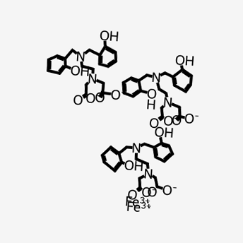 O=C([O-])CN(CCN(Cc1ccccc1O)Cc1ccccc1O)CC(=O)[O-].O=C([O-])CN(CCN(Cc1ccccc1O)Cc1ccccc1O)CC(=O)[O-].O=C([O-])CN(CCN(Cc1ccccc1O)Cc1ccccc1O)CC(=O)[O-].[Fe+3].[Fe+3]